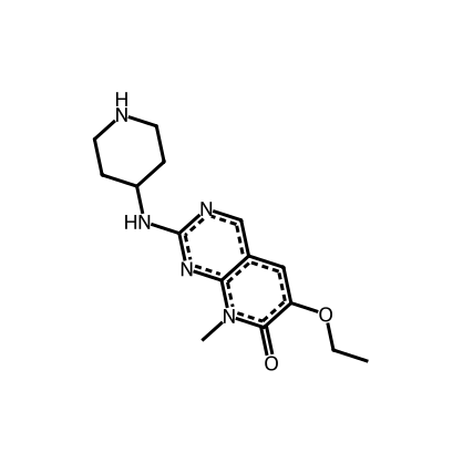 CCOc1cc2cnc(NC3CCNCC3)nc2n(C)c1=O